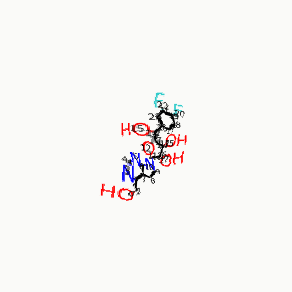 OCc1ncnc2c1ccn2C1OC(C(O)c2ccc(F)c(F)c2)C(O)C1O